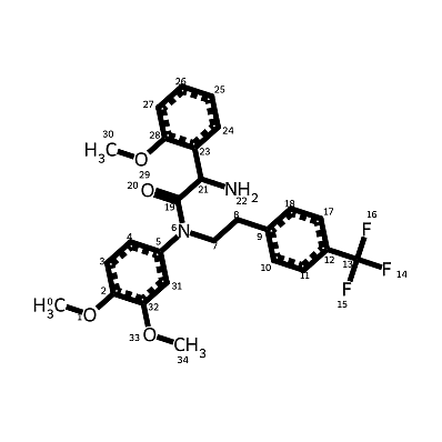 COc1ccc(N(CCc2ccc(C(F)(F)F)cc2)C(=O)C(N)c2ccccc2OC)cc1OC